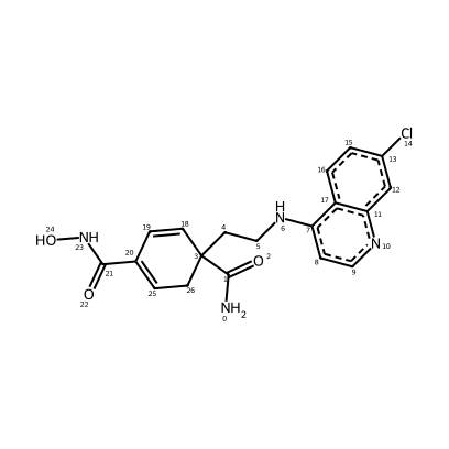 NC(=O)C1(CCNc2ccnc3cc(Cl)ccc23)C=CC(C(=O)NO)=CC1